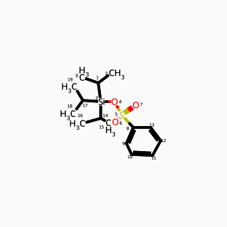 CC(C)[Si](OS(=O)(=O)c1ccccc1)(C(C)C)C(C)C